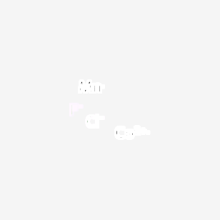 [Cl-].[Co+2].[F-].[Mn]